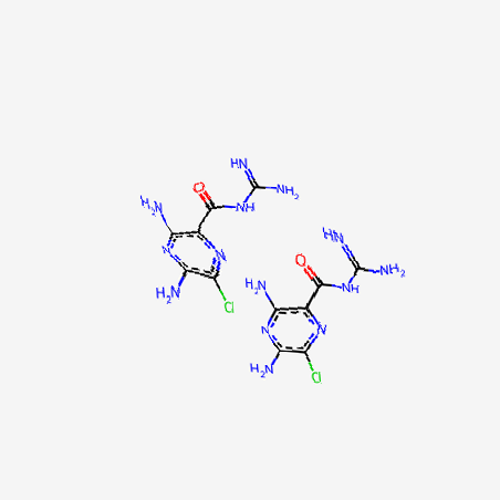 N=C(N)NC(=O)c1nc(Cl)c(N)nc1N.N=C(N)NC(=O)c1nc(Cl)c(N)nc1N